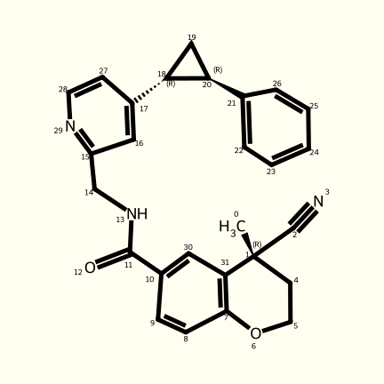 C[C@@]1(C#N)CCOc2ccc(C(=O)NCc3cc([C@@H]4C[C@H]4c4ccccc4)ccn3)cc21